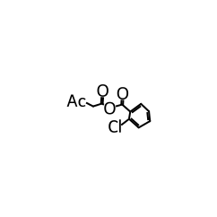 CC(=O)CC(=O)OC(=O)c1ccccc1Cl